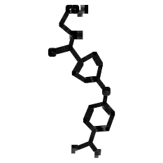 O=C(O)CNC(=O)c1ccc(Oc2ccc(C(F)F)cc2)cc1